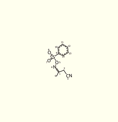 CC(CC#N)=NOS(=O)(=O)c1ccccc1